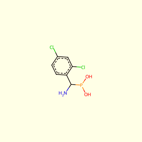 NC(c1ccc(Cl)cc1Cl)P(O)O